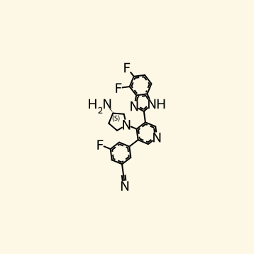 N#Cc1cc(F)cc(-c2cncc(-c3nc4c(F)c(F)ccc4[nH]3)c2N2CC[C@H](N)C2)c1